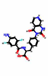 Nc1cc(F)c(C(=O)N[C@@H](Cc2ccc(-n3c(=O)[nH]c4cnccc4c3=O)cc2)C(=O)O)cc1F